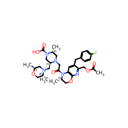 CC(=O)OCc1nc2c(cc1Cc1ccc(F)cc1)N(C(=O)CN1C[C@@H](C)N(C(=O)O)C[C@@H]1CN1C[C@H](C)OC[C@H]1C)[C@@H](C)CO2